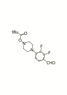 CC(C)(C)C(=O)ON1CCN(c2ccc(C=O)c(F)c2F)CC1